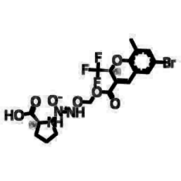 Cc1cc(Br)cc2c1O[C@H](C(F)(F)F)C(C(=O)OCON[NH+]([O-])N1CCC[C@H]1C(=O)O)=C2